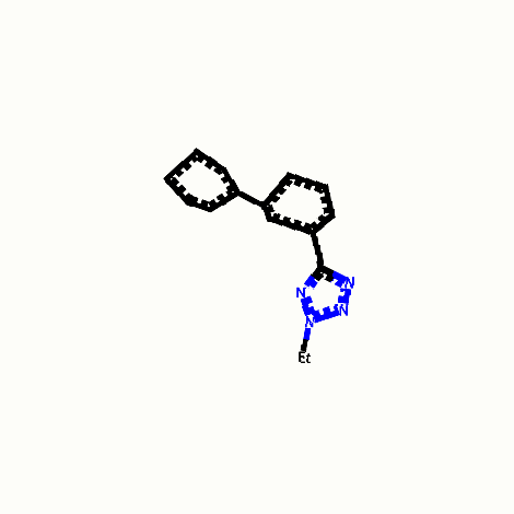 CCn1nnc(-c2cccc(-c3ccccc3)c2)n1